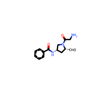 NCC(=O)N1C[C@@H](NC(=O)c2ccccc2)C[C@H]1C=O